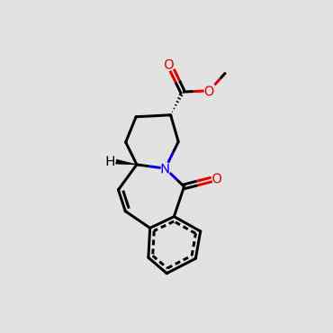 COC(=O)[C@H]1CC[C@H]2C=Cc3ccccc3C(=O)N2C1